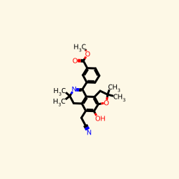 COC(=O)c1cccc(C2=NC(C)(C)Cc3c(CC#N)c(O)c4c(c32)CC(C)(C)O4)c1